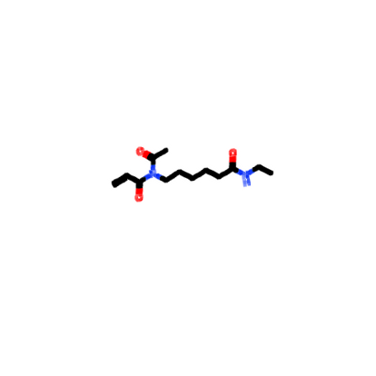 C=CC(=O)N(CCCCCC(=O)NCC)C(C)=O